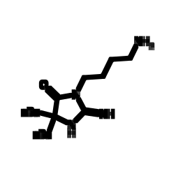 CCCCC1(CCCC)NC(=N)N(CCCCN)C1=O